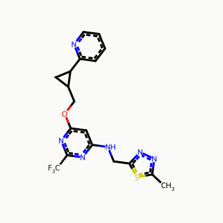 Cc1nnc(CNc2cc(OCC3CC3c3ccccn3)nc(C(F)(F)F)n2)s1